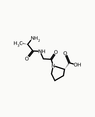 C[C@H](N)C(=O)NCC(=O)N1CCC[C@H]1C(=O)O